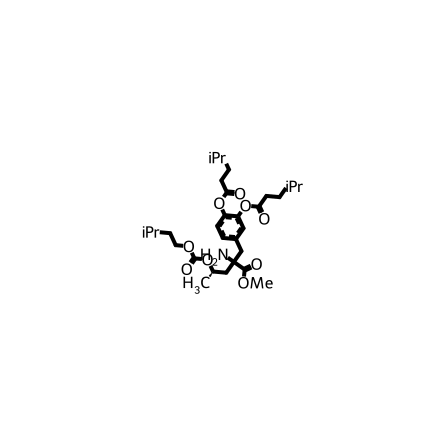 COC(=O)C(N)(Cc1ccc(OC(=O)CCC(C)C)c(OC(=O)CCC(C)C)c1)C[C@H](C)OC(=O)OCCC(C)C